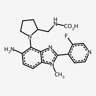 Cn1c(-c2ccncc2F)nc2c(N3CCCC3CNC(=O)O)c(N)ccc21